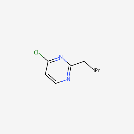 CC(C)Cc1nccc(Cl)n1